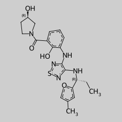 CC[C@@H](Nc1nsnc1Nc1cccc(C(=O)N2CC[C@@H](O)C2)c1O)c1cc(C)co1